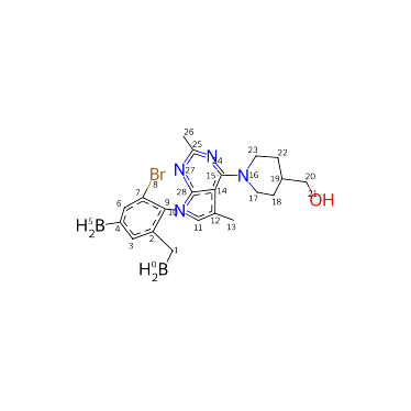 BCc1cc(B)cc(Br)c1-n1cc(C)c2c(N3CCC(CO)CC3)nc(C)nc21